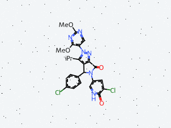 COc1ncc(-n2nc3c(c2C(C)C)C(c2ccc(Cl)cc2)N(c2c[nH]c(=O)c(Cl)c2)C3=O)c(OC)n1